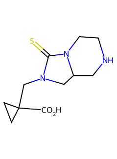 O=C(O)C1(CN2CC3CNCCN3C2=S)CC1